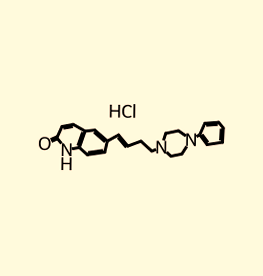 Cl.O=c1ccc2cc(C=CCCN3CCN(c4ccccc4)CC3)ccc2[nH]1